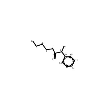 C=C(CCCCC)C(C)c1ccccc1